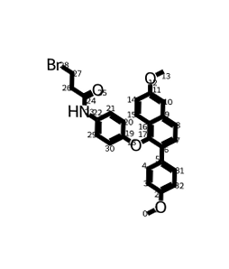 COc1ccc(-c2ccc3cc(OC)ccc3c2Oc2ccc(NC(=O)CCBr)cc2)cc1